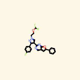 Fc1ccc(-c2nn(CCOC(F)F)cc2-c2ncc3cc(-c4ccccc4)oc3n2)cc1